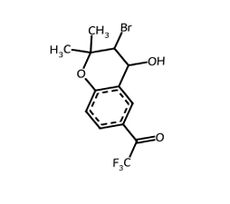 CC1(C)Oc2ccc(C(=O)C(F)(F)F)cc2C(O)C1Br